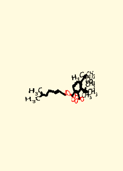 CC(C)CCCCCOC(=O)c1ccc(C(C)(C)C)c(C(C)(C)C)c1C(=O)O